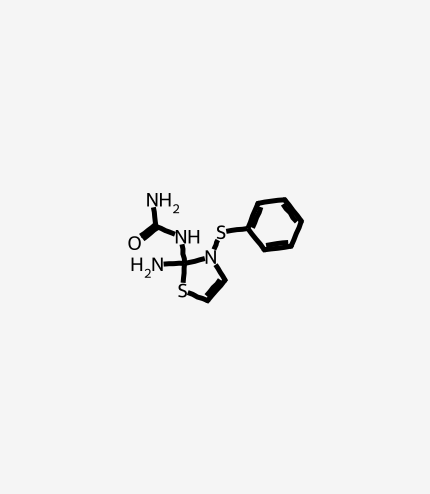 NC(=O)NC1(N)SC=CN1Sc1ccccc1